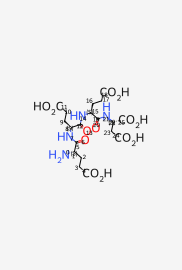 N[C@@H](CCC(=O)O)C(=O)N[C@@H](CCC(=O)O)C(=O)N[C@@H](CCC(=O)O)C(=O)N[C@@H](CC(=O)O)C(=O)O